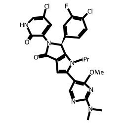 COc1nc(N(C)C)ncc1-c1cc2c(n1C(C)C)[C@H](c1ccc(Cl)c(F)c1)N(c1cc(Cl)c[nH]c1=O)C2=O